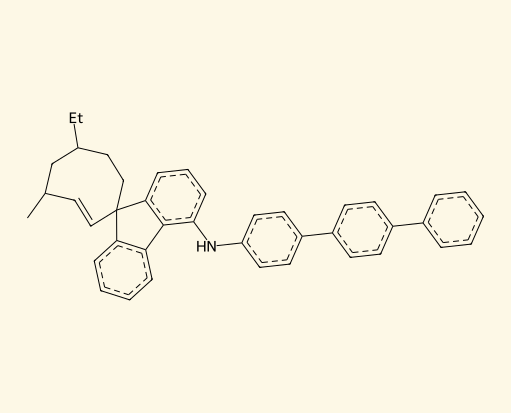 CCC1CCC2(/C=C/C(C)C1)c1ccccc1-c1c(Nc3ccc(-c4ccc(-c5ccccc5)cc4)cc3)cccc12